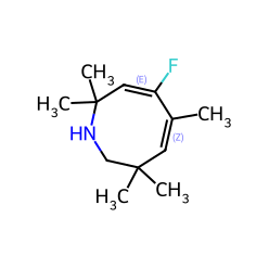 CC1=C/C(C)(C)CNC(C)(C)/C=C\1F